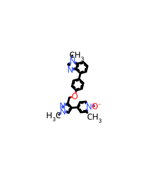 Cc1cc(-c2cn(C)nc2COc2ccc(-c3cccc4c3ncn4C)cc2)cc[n+]1[O-]